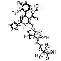 CCOC(=O)C1=C(CN2CC(F)(F)C3C2CN(C)N3CCOC(C)(C)C(=O)O)NC(c2nccs2)=NC1c1cccc(F)c1C